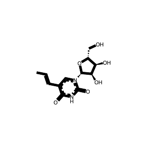 CC=Cc1cn([C@@H]2O[C@H](CO)[C@@H](O)[C@H]2O)c(=O)[nH]c1=O